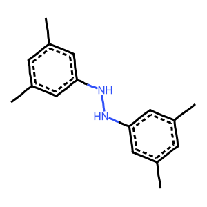 Cc1cc(C)cc(NNc2cc(C)cc(C)c2)c1